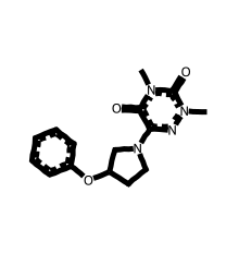 Cn1nc(N2CCC(Oc3ccccc3)C2)c(=O)n(C)c1=O